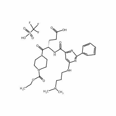 CCOC(=O)N1CCN(C(=O)[C@H](CCC(=O)O)NC(=O)c2cc(NCCCN(C)C)nc(-c3ccccc3)n2)CC1.O=S(=O)(O)C(F)(F)F